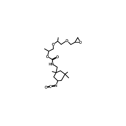 CC(COCC1CO1)OCC(C)OC(=O)NCC1(C)CC(N=C=O)CC(C)(C)C1